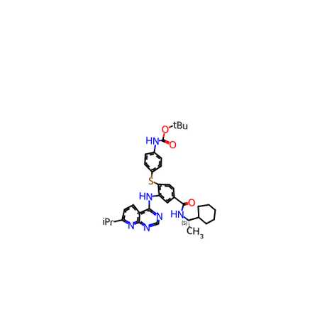 CC(C)c1ccc2c(Nc3cc(C(=O)N[C@@H](C)C4CCCCC4)ccc3Sc3ccc(NC(=O)OC(C)(C)C)cc3)ncnc2n1